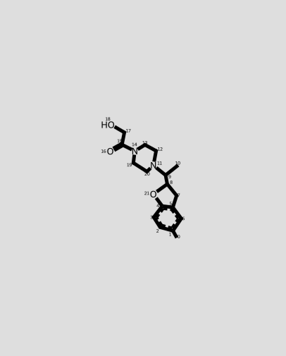 Cc1ccc2c(c1)CC(C(C)N1CCN(C(=O)CO)CC1)O2